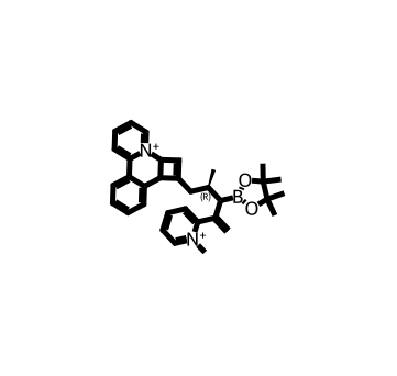 C=C(c1cccc[n+]1C)C(B1OC(C)(C)C(C)(C)O1)[C@H](C)CC1=CC2C1c1ccccc1-c1cccc[n+]12